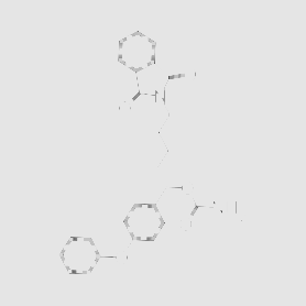 NC(=O)O[C@@H](CCCCN1C(=O)c2ccccc2C1=O)c1ccc(Oc2ccccc2)cc1